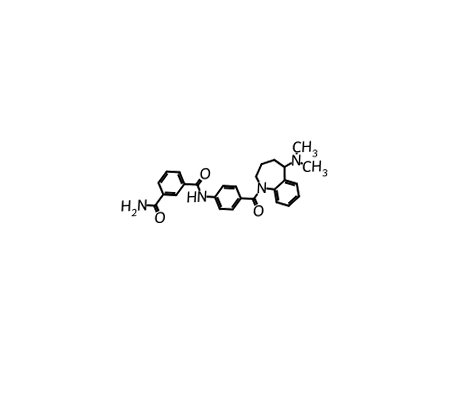 CN(C)C1CCCN(C(=O)c2ccc(NC(=O)c3cccc(C(N)=O)c3)cc2)c2ccccc21